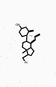 C=C/C=C1/C2CCC(CC(C)=O)C2(C)CCC1[C@@]1(C)CCC(N=O)CC1=C